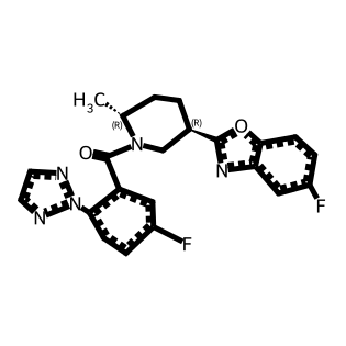 C[C@@H]1CC[C@@H](c2nc3cc(F)ccc3o2)CN1C(=O)c1cc(F)ccc1-n1nccn1